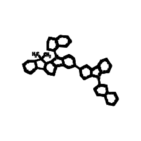 CC1(C)c2ccccc2-c2ccc3c4cc(-c5ccc6c(c5)c5ccccc5n6-c5ccc6ccccc6c5)ccc4n(-c4cccc5ccccc45)c3c21